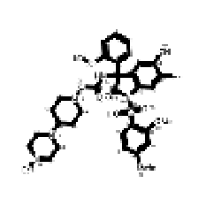 CCOc1ccccc1C1(NC(=O)ON2CCC(N3CCN(CC)CC3)CC2)C(=O)N(S(=O)(=O)c2ccc(OC)cc2OC)c2cc(F)c(C#N)cc21